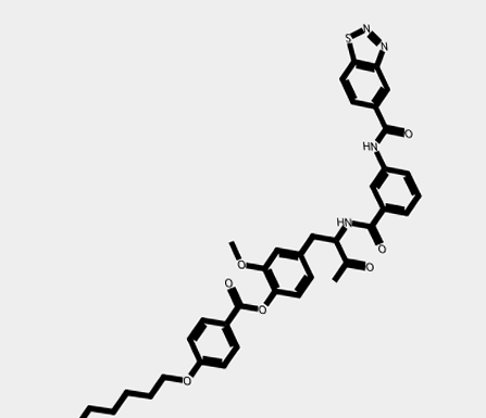 CCCCCCCOc1ccc(C(=O)Oc2ccc(CC(NC(=O)c3cccc(NC(=O)c4ccc5snnc5c4)c3)C(C)=O)cc2OC)cc1